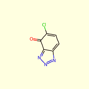 O=C1C(Cl)=CC=C2N=NN=C12